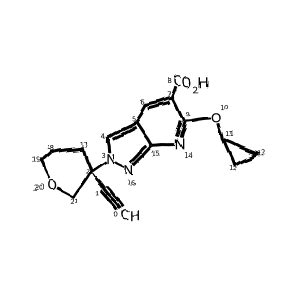 C#C[C@]1(n2cc3cc(C(=O)O)c(OC4CC4)nc3n2)CCCOC1